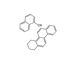 N#Cc1cccc2ccccc12.c1ccc2c(c1)ccc1c3c(ccc12)CCCC3